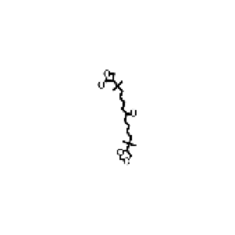 CC(C)(CCCCC(=O)CCCCC(C)(C)C1COC1=O)C1COCO1